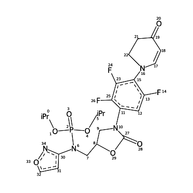 CC(C)OP(=O)(OC(C)C)N(CC1CN(c2cc(F)c(N3C=CC(=O)CC3)c(F)c2F)C(=O)O1)c1ccon1